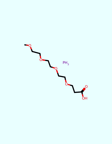 COCCOCCOCCOCCC(=O)O.P